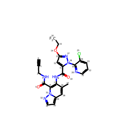 C#CCNC(=O)c1c(NC(=O)c2cc(OCC(F)(F)F)nn2-c2ncccc2Cl)c(C)cc2ccnn12